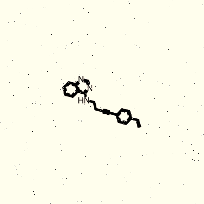 C=Cc1ccc(C#CCCNc2ncnc3ccccc23)cc1